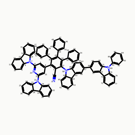 N#Cc1c(-c2cc(-n3c4ccccc4c4ccccc43)nc(-n3c4ccccc4c4ccccc43)c2)c(-c2ccccc2)c(-c2ccccc2)c(-c2ccccc2)c1-n1c2ccccc2c2cc(-c3ccc4c(c3)c3ccccc3n4-c3ccccc3)ccc21